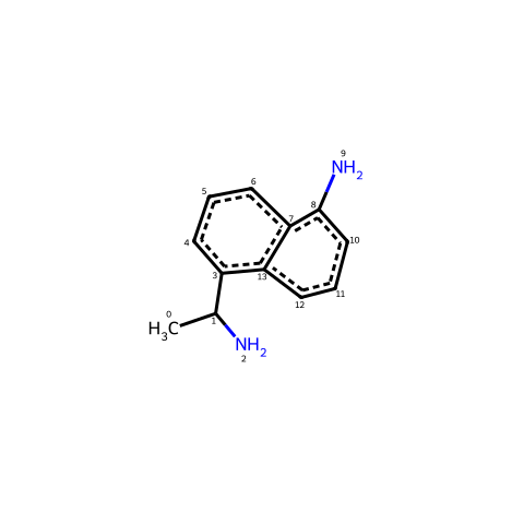 CC(N)c1cccc2c(N)cccc12